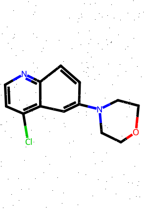 Clc1ccnc2ccc(N3CCOCC3)cc12